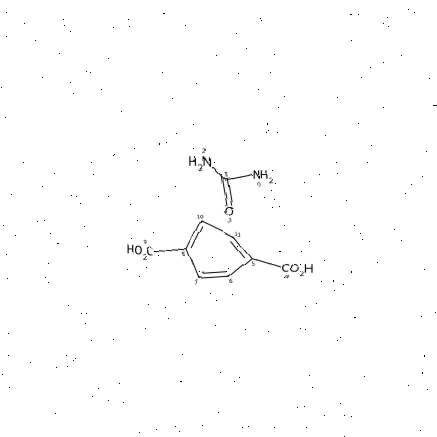 NC(N)=O.O=C(O)c1ccc(C(=O)O)cc1